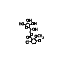 COc1c(Cl)ccc(Cl)c1C(=O)OC[C@@H](O)[C@H]1OC(O)[C@H](O)[C@H]1O